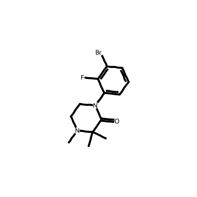 CN1CCN(c2cccc(Br)c2F)C(=O)C1(C)C